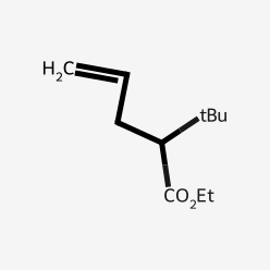 C=CCC(C(=O)OCC)C(C)(C)C